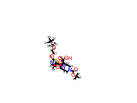 CC(C)(C)OC(=O)N1CC2CC(c3cnc(OCCO[Si](C)(C)C(C)(C)C)s3)=C(C(=O)O)C(C1)N2C(=O)OC(C)(C)C